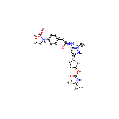 CC1(NC(=O)OC2CCC(c3cc(NC(=O)Cc4ccc(N5CCOC5=O)cc4)n(C(C)(C)C)n3)C2)CC1